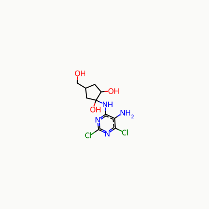 Nc1c(Cl)nc(Cl)nc1NC1(O)CC(CO)CC1O